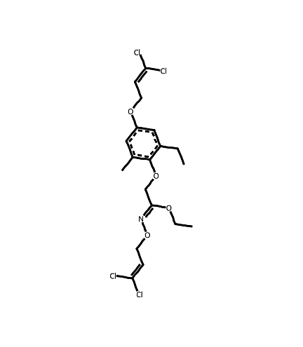 CCOC(COc1c(C)cc(OCC=C(Cl)Cl)cc1CC)=NOCC=C(Cl)Cl